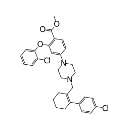 COC(=O)c1ccc(N2CCN(CC3=C(c4ccc(Cl)cc4)CCCC3)CC2)cc1Oc1ccccc1Cl